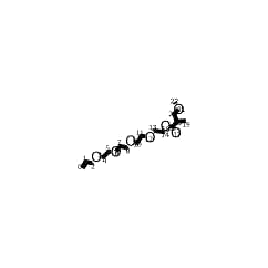 C=CCOCCOCCOCCOCCOC(=O)C(C)COC